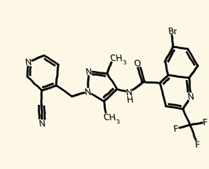 Cc1nn(Cc2ccncc2C#N)c(C)c1NC(=O)c1cc(C(F)(F)F)nc2ccc(Br)cc12